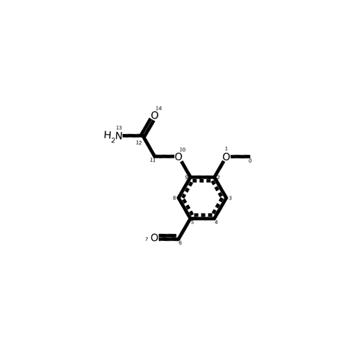 COc1ccc(C=O)cc1OCC(N)=O